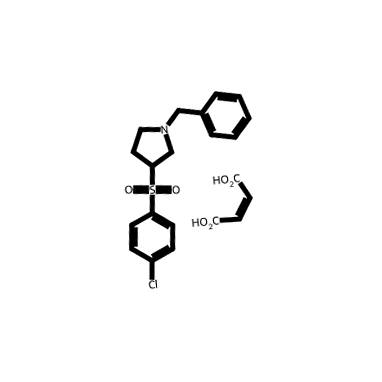 O=C(O)/C=C\C(=O)O.O=S(=O)(c1ccc(Cl)cc1)C1CCN(Cc2ccccc2)C1